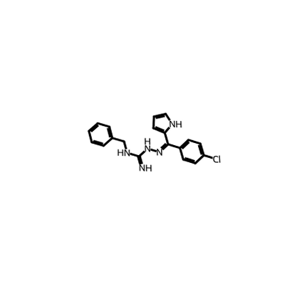 N=C(NCc1ccccc1)NN=C(c1ccc(Cl)cc1)c1ccc[nH]1